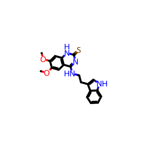 COc1cc2[nH]c(=S)nc(NCCc3c[nH]c4ccccc34)c2cc1OC